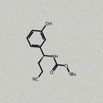 CC(C)(C)OC(=O)N[C@@H](CCC#N)c1cccc(O)c1